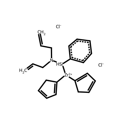 C=CCN(CC=C)[SiH](c1ccccc1)[Zr+2]([C]1=CC=CC1)[C]1=CC=CC1.[Cl-].[Cl-]